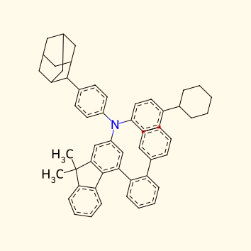 CC1(C)c2ccccc2-c2c(-c3ccccc3-c3ccccc3)cc(N(c3ccc(C4CCCCC4)cc3)c3ccc(C4C5CC6CC(C5)CC4C6)cc3)cc21